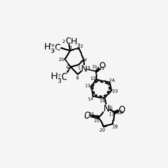 CC1(C)CC2CC(C)(CN2C(=O)c2ccc(N3C(=O)CCC3=O)cc2)C1